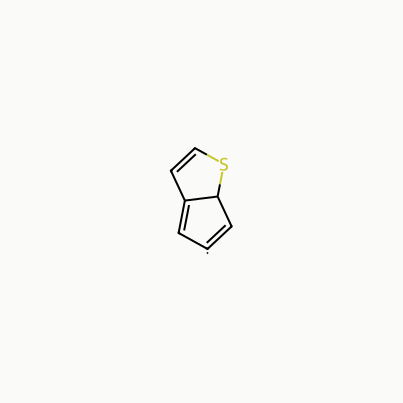 [C]1=CC2SC=CC2=C1